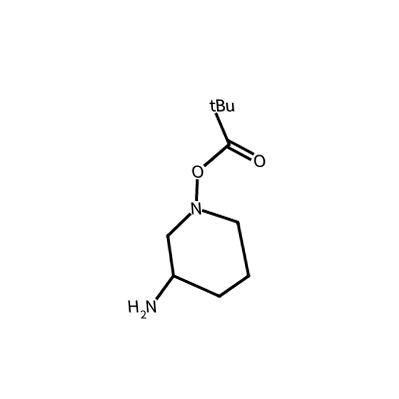 CC(C)(C)C(=O)ON1CCCC(N)C1